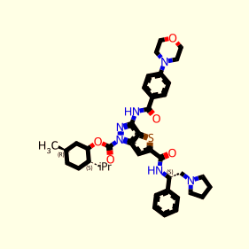 CC(C)[C@@H]1CC[C@@H](C)CC1OC(=O)n1nc(NC(=O)c2ccc(N3CCOCC3)cc2)c2sc(C(=O)N[C@H](CN3CCCC3)c3ccccc3)cc21